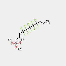 CCO[Si](CCCC(F)(F)C(F)(F)C(F)(F)C(F)(F)C(F)(F)CCC(F)(F)F)(OCC)OCC